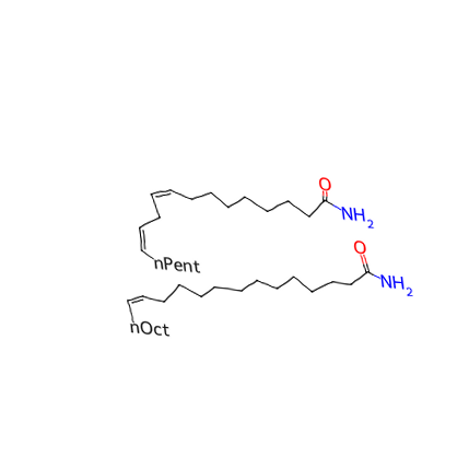 CCCCC/C=C\C/C=C\CCCCCCCC(N)=O.CCCCCCCC/C=C\CCCCCCCCCCCC(N)=O